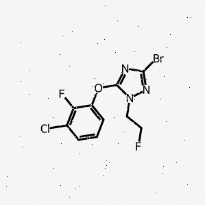 FCCn1nc(Br)nc1Oc1cccc(Cl)c1F